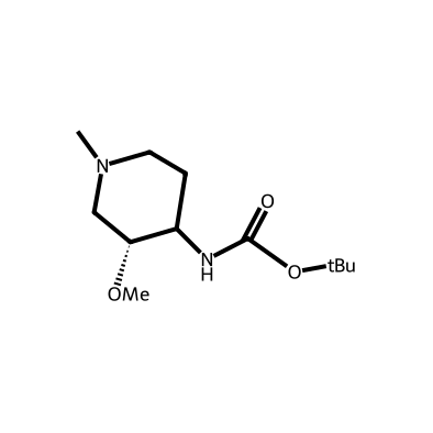 CO[C@@H]1CN(C)CCC1NC(=O)OC(C)(C)C